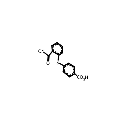 O=NC(=O)c1ccccc1Sc1ccc(C(=O)O)cc1